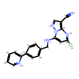 N#Cc1cnn2c(NCc3ccc(-c4ccccn4)cc3)cc(Cl)nc12